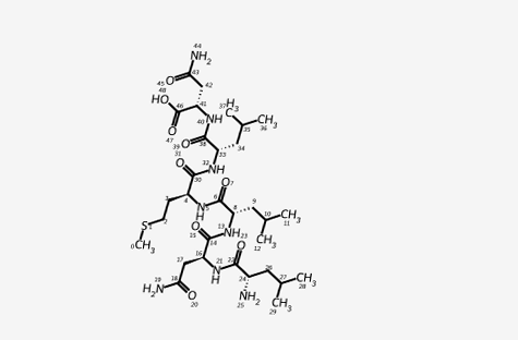 CSCC[C@H](NC(=O)[C@H](CC(C)C)NC(=O)[C@H](CC(N)=O)NC(=O)[C@@H](N)CC(C)C)C(=O)N[C@@H](CC(C)C)C(=O)N[C@@H](CC(N)=O)C(=O)O